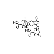 C=C(C)C(=O)O.C=C(C)C(=O)O.O=c1oc(=O)c2cc3c(=O)oc(=O)c3cc12